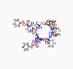 CCCCCC[C@H]1OC[C@@H](C)NC(=O)C(CN2CCN(C(=O)OCc3ccccc3)CC2)NC(=O)[C@H](CNC(=O)OCc2ccccc2)NC(=O)[C@H](C2CCCCC2)NC(=O)[C@H](CC(C)C)N(C)C(=O)[C@@H]1C